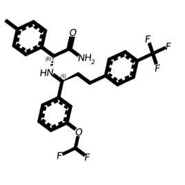 Cc1ccc([C@@H](N[C@@H](CCc2ccc(C(F)(F)F)cc2)c2cccc(OC(F)F)c2)C(N)=O)cc1